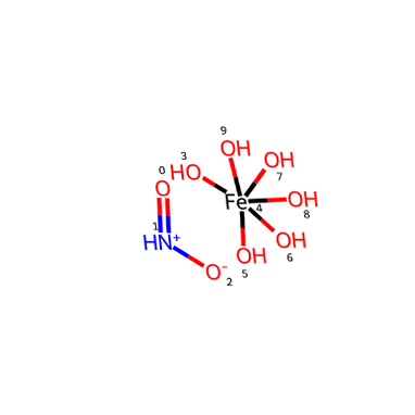 O=[NH+][O-].[OH][Fe]([OH])([OH])([OH])([OH])[OH]